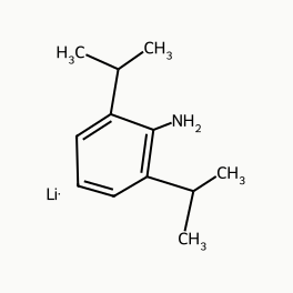 CC(C)c1cccc(C(C)C)c1N.[Li]